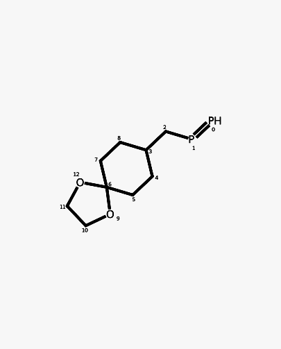 P=PCC1CCC2(CC1)OCCO2